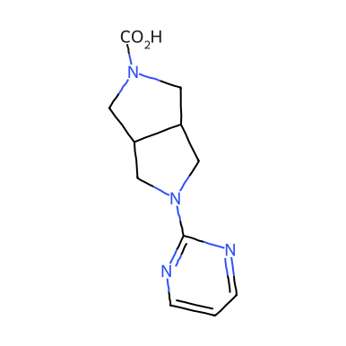 O=C(O)N1CC2CN(c3ncccn3)CC2C1